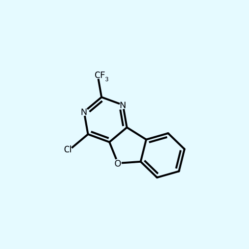 FC(F)(F)c1nc(Cl)c2oc3ccccc3c2n1